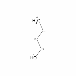 C[CH]CCO